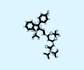 CC(C)N(C(=O)C[C@H]1C[C@@H](/C=C/c2c(-c3ccc(F)cc3)c3ccccc3n2C(C)C)OC(C)(C)O1)C(C)C